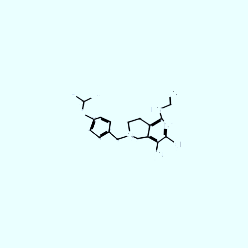 N#CCNc1nc(Cl)c(C#N)c2c1CCN(Cc1ccc(OC(F)F)cc1)C2